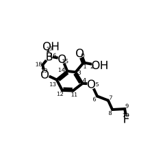 O=C(O)c1c(OCCCCF)ccc2c1OB(O)CO2